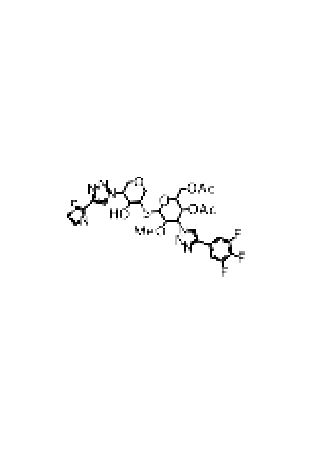 COC1C(SC2COCC(n3cc(-c4nccs4)nn3)C2O)OC(COC(C)=O)C(OC(C)=O)C1n1cc(-c2cc(F)c(F)c(F)c2)nn1